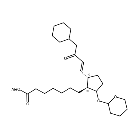 COC(=O)CCCCCC[C@@H]1C(OC2CCCCO2)CC[C@H]1C=CC(=O)CC1CCCCC1